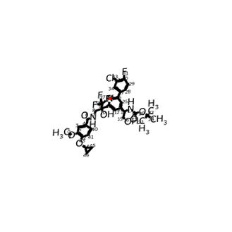 COc1cc(C(=O)NCC(O)(c2cc(C(CO)NC(=O)OC(C)(C)C)cc(-c3ccc(F)c(Cl)c3)n2)C(F)(F)F)ccc1OC1CC1